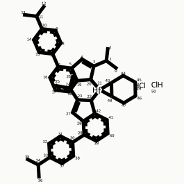 CC(C)C1=Cc2c(-c3ccc(C(C)C)cc3)cccc2[CH]1[Hf]1([CH]2C(C(C)C)=Cc3c(-c4ccc(C(C)C)cc4)cccc32)[CH]2CCCC[CH]21.Cl.Cl